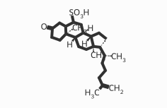 C=C(C)CCC[C@@H](C)[C@H]1CC[C@H]2[C@@H]3CC(S(=O)(=O)O)C4CC(=O)CC[C@]4(C)[C@H]3CC[C@]12C